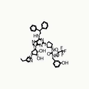 CCc1cnn([C@H]2C[C@@H](n3cnc4c(NCC(c5ccccc5)c5ccccc5)nc(N5CC[C@@H](N(OC(=O)C(F)(F)F)C(=O)NCc6cccc(O)c6)C5)nc43)[C@H](O)[C@@H]2O)c1